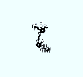 CC(=O)c1ccc(OCCCOc2cccc(NC(=O)c3nnn[nH]3)c2C#N)c(CCC(F)(F)F)c1O